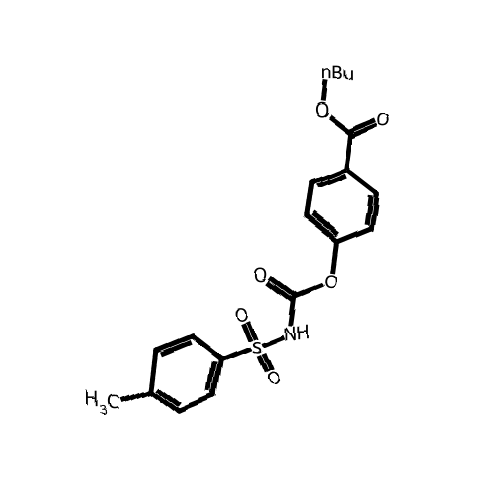 CCCCOC(=O)c1ccc(OC(=O)NS(=O)(=O)c2ccc(C)cc2)cc1